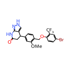 COc1cc(C2CC(=O)Nc3n[nH]cc32)ccc1COc1ccc(Br)cc1C(F)(F)F